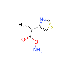 CC(C(=O)ON)c1cscn1